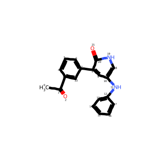 CC(=O)c1cccc(-c2cc(Nc3ccccc3)c[nH]c2=O)c1